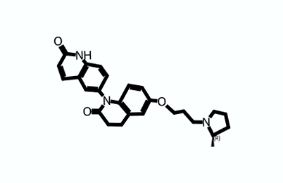 C[C@@H]1CCCN1CCCOc1ccc2c(c1)CCC(=O)N2c1ccc2[nH]c(=O)ccc2c1